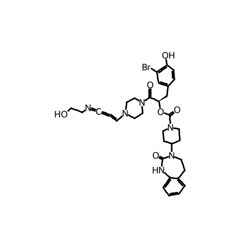 O=C(O[C@H](Cc1ccc(O)c(Br)c1)C(=O)N1CCN(C=C=C=NCCO)CC1)N1CCC(N2CCc3ccccc3NC2=O)CC1